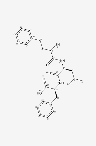 CC(C)C[C@H](NC(=O)C(S)CCc1ccccc1)C(=O)N[C@@H](Cc1ccccc1)C(=O)O